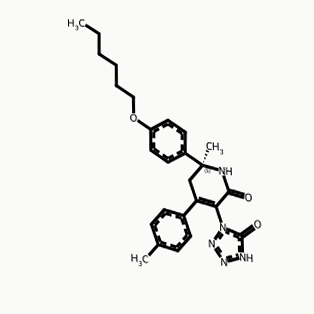 CCCCCCOc1ccc([C@]2(C)CC(c3ccc(C)cc3)=C(n3nn[nH]c3=O)C(=O)N2)cc1